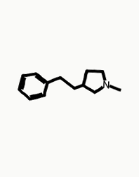 CN1CCC(CCc2ccccc2)C1